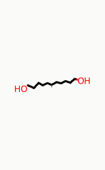 OCCCCC[CH]CCCCCO